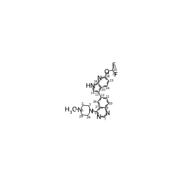 CN1CCN(c2ncnc3ccc(-c4c[nH]c5nc(OC(F)F)ccc45)cc23)CC1